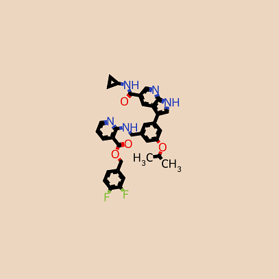 CC(C)Oc1cc(CNc2ncccc2C(=O)OCc2ccc(F)c(F)c2)cc(-c2c[nH]c3ncc(C(=O)NC4CC4)cc23)c1